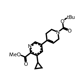 COC(=O)c1ncc(C2=CCN(C(=O)OC(C)(C)C)CC2)cc1C1CC1